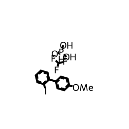 COc1ccc(-c2ccccc2I)cc1.FC(F)F.O=[PH](O)O